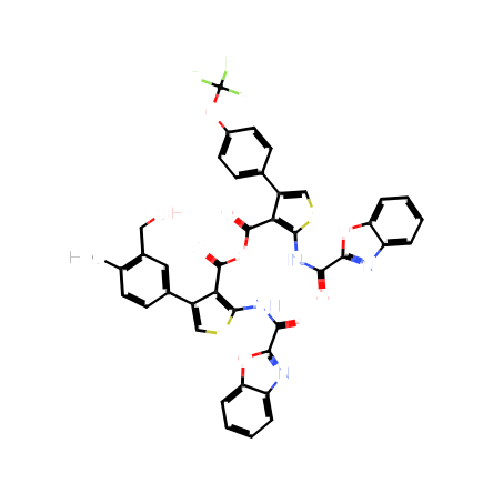 Cc1ccc(-c2csc(NC(=O)c3nc4ccccc4o3)c2C(=O)OC(=O)c2c(-c3ccc(OC(F)(F)F)cc3)csc2NC(=O)c2nc3ccccc3o2)cc1CO